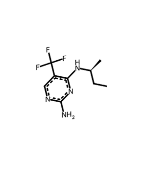 CC[C@H](C)Nc1nc(N)ncc1C(F)(F)F